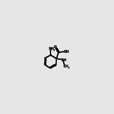 CNC1(C(=O)O)C=CC=CC1N